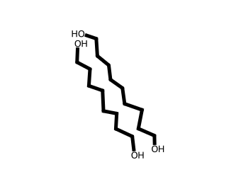 OCCCCCCCCCO.OCCCCCCCCO